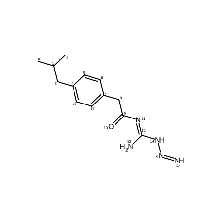 CC(C)Cc1ccc(CC(=O)/N=C(\N)NN=N)cc1